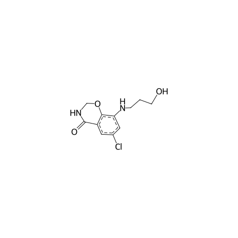 O=C1NCOc2c(NCCCO)cc(Cl)cc21